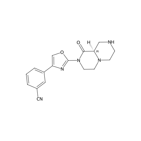 N#Cc1cccc(-c2coc(N3CCN4CCNC[C@@H]4C3=O)n2)c1